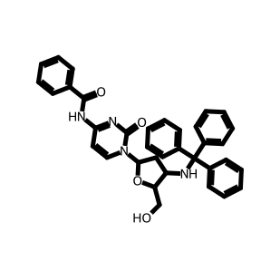 O=C(Nc1ccn(C2CC(NC(c3ccccc3)(c3ccccc3)c3ccccc3)C(CO)O2)c(=O)n1)c1ccccc1